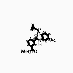 COC(=O)c1cccc(C(=O)Nc2cc(C(C)=O)ccc2OCC2CC2)c1